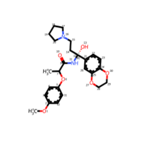 COc1ccc(OC(C)C(=O)N[C@@](O)(CCN2CCCC2)c2ccc3c(c2)OCCO3)cc1